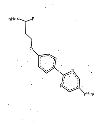 CCCCCCCc1cnc(-c2ccc(OCCC(F)CCCCCC)cc2)nc1